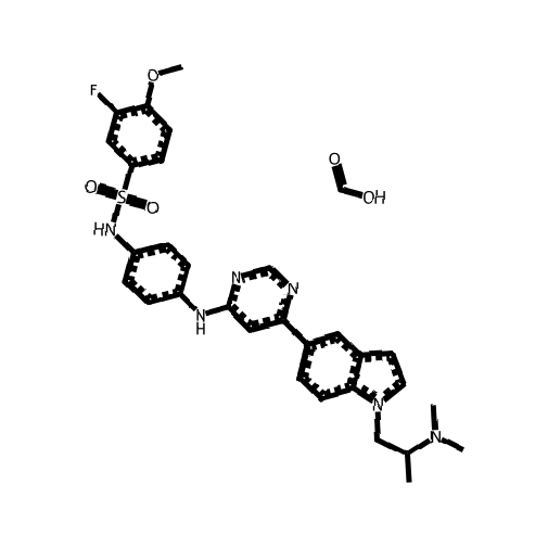 COc1ccc(S(=O)(=O)Nc2ccc(Nc3cc(-c4ccc5c(ccn5CC(C)N(C)C)c4)ncn3)cc2)cc1F.O=CO